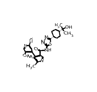 COc1cnc(Cl)cc1-c1cc(C)ncc1C(=O)Nc1nnc([C@H]2CC[C@@H](C(C)(C)O)CC2)s1